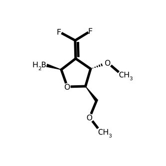 B[C@@H]1O[C@H](COC)[C@@H](OC)C1=C(F)F